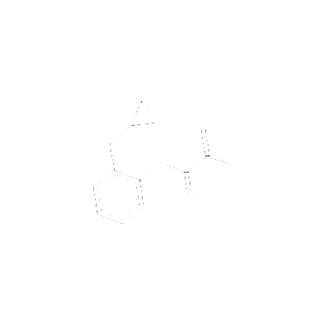 C=C(C)C(=O)Oc1ccccc1CC1CO1